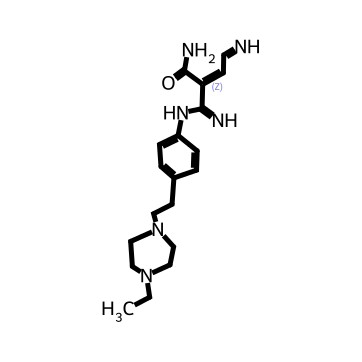 CCN1CCN(CCc2ccc(NC(=N)/C(=C/C=N)C(N)=O)cc2)CC1